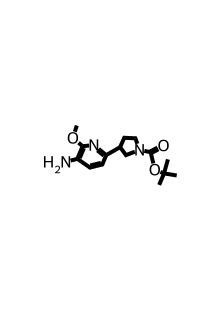 COc1nc(C2CCN(C(=O)OC(C)(C)C)C2)ccc1N